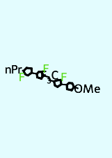 CCCc1ccc(-c2ccc(CCc3ccc(-c4ccc(OC)cc4)c(F)c3C(F)(F)F)c(F)c2)cc1F